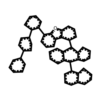 c1ccc(-c2ccc(-c3ccccc3-c3cccc4c3oc3cccc(-c5c6ccccc6c(-c6cccc7ccccc67)c6ccccc56)c34)cc2)cc1